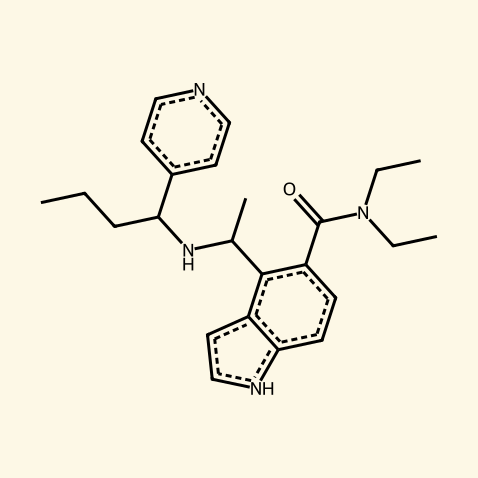 CCCC(NC(C)c1c(C(=O)N(CC)CC)ccc2[nH]ccc12)c1ccncc1